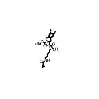 C=C(NC(CC(=O)N(C)CCCCCNC(=O)C1CC1)Cc1cc(F)c(F)cc1F)OC(C)(C)C